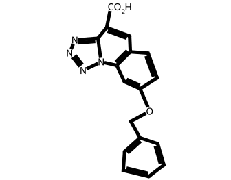 O=C(O)c1cc2ccc(OCc3ccccc3)cc2n2nnnc12